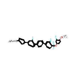 CCCCCc1ccc(-c2ccc(-c3ccc(-c4ccc(C(F)(F)Oc5ccc(OC(F)(F)F)c(F)c5)c(F)c4)cc3)c(F)c2)cc1